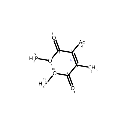 CC(=O)/C(C(=O)OP)=C(\C)C(=O)OP